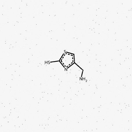 NCc1csc(S)n1